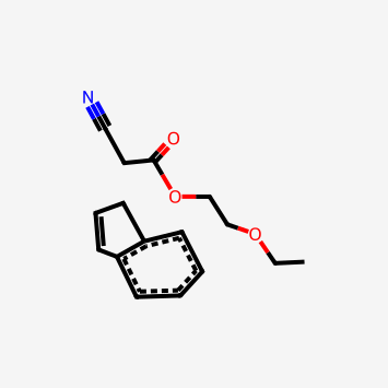 C1=Cc2ccccc2C1.CCOCCOC(=O)CC#N